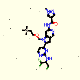 Cn1cc(C(=O)Nc2cc3c(cn2)cc(-c2ccnc(NC(CF)C(F)F)n2)n3COCC[Si](C)(C)C)cn1